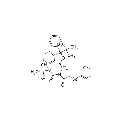 CC(C)(C)OC(=O)N1C(=O)C([Se]c2ccccc2)C[C@@H]1CO[Si](c1ccccc1)(c1ccccc1)C(C)(C)C